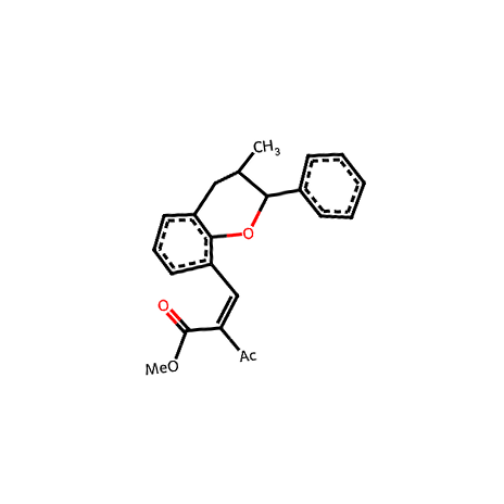 COC(=O)C(=Cc1cccc2c1OC(c1ccccc1)C(C)C2)C(C)=O